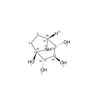 O[C@@H]1[C@@H](O)[C@H](O)[C@]2(O)CC[C@H]1N2